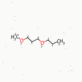 CCCOCCCOC